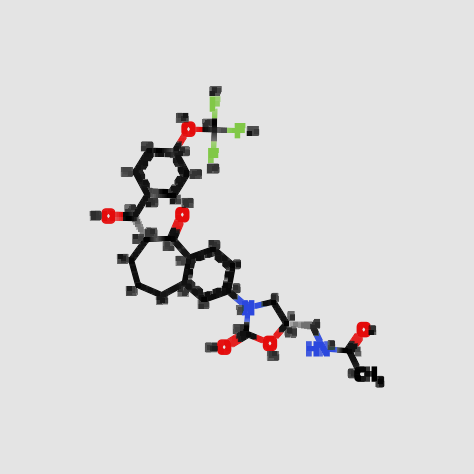 CC(=O)NC[C@H]1CN(c2ccc3c(c2)CCC[C@H](C(=O)c2ccc(OC(F)(F)F)cc2)C3=O)C(=O)O1